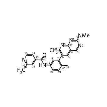 CNc1ncc2cc(-c3cc(NC(=O)c4ccnc(C(F)(F)F)c4)ccc3C)c(Cl)nc2n1